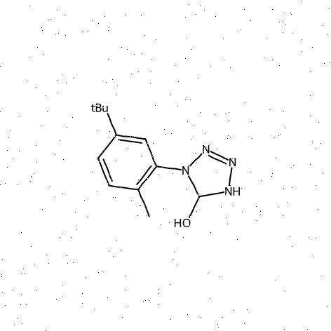 Cc1ccc(C(C)(C)C)cc1N1N=NNC1O